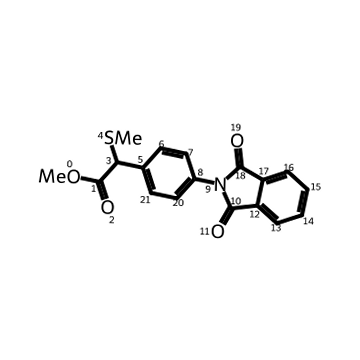 COC(=O)C(SC)c1ccc(N2C(=O)c3ccccc3C2=O)cc1